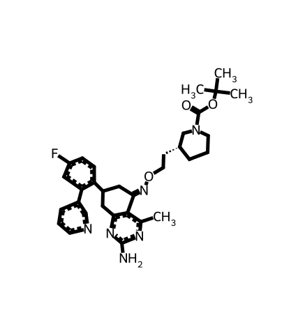 Cc1nc(N)nc2c1/C(=N/OCC[C@H]1CCCN(C(=O)OC(C)(C)C)C1)CC(c1ccc(F)cc1-c1cccnc1)C2